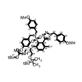 COc1ccc(CN(Cc2ccc(OC)cc2)S(=O)(=O)c2c(S[C@@H](CNC(=O)OC(C)(C)C)CO[Si](C)(C)C(C)(C)C)ccc(I)c2-c2nnn(Cc3ccc(OC)cc3)n2)cc1